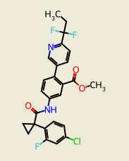 CCC(F)(F)c1ccc(-c2ccc(NC(=O)C3(c4ccc(Cl)cc4F)CC3)cc2C(=O)OC)cn1